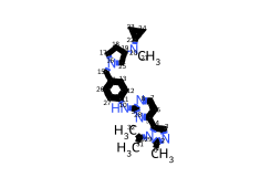 Cc1ncc(-c2ccnc(Nc3ccc(CN4CC[C@H](N(C)C5CC5)C4)cc3)n2)n1C(C)C